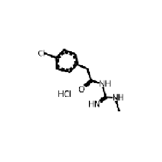 CNC(=N)NC(=O)Cc1ccc(Cl)cc1.Cl